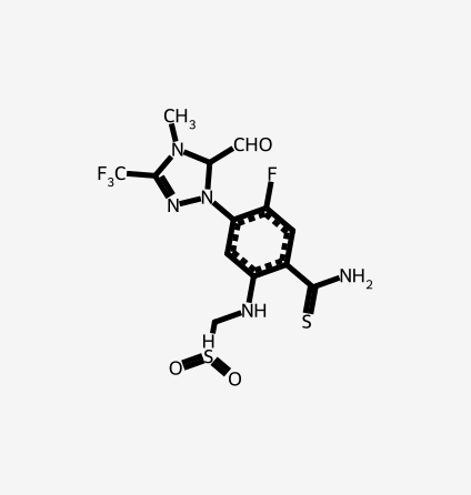 CN1C(C(F)(F)F)=NN(c2cc(NC[SH](=O)=O)c(C(N)=S)cc2F)C1C=O